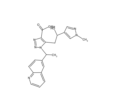 COC(=O)c1nnn(C(C)c2ccc3ncccc3c2)c1CC(O)c1cnn(C)c1